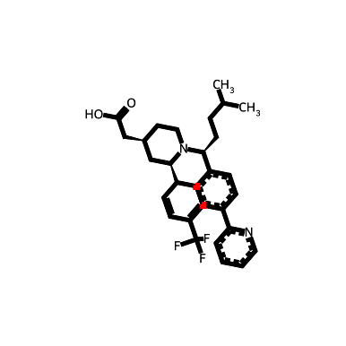 CC(C)CC[C@@H](c1ccc(-c2ccccn2)cc1)N1CC[C@H](CC(=O)O)C[C@@H]1C1C=CC(C(F)(F)F)=CC1